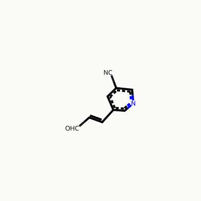 N#Cc1cncc(C=CC=O)c1